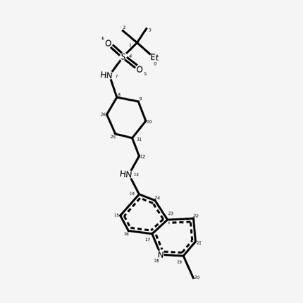 CCC(C)(C)S(=O)(=O)NC1CCC(CNc2ccc3nc(C)ccc3c2)CC1